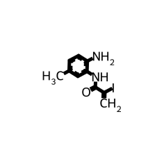 C=C(I)C(=O)Nc1cc(C)ccc1N